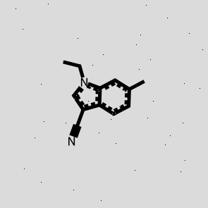 CCn1cc(C#N)c2ccc(C)cc21